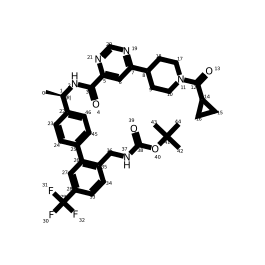 C[C@@H](NC(=O)c1cc(C2CCN(C(=O)C3CC3)CC2)ncn1)c1ccc(-c2cc(C(F)(F)F)ccc2CNC(=O)OC(C)(C)C)cc1